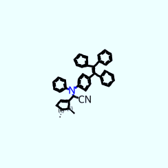 C[C@@H]1CC=C(C(C#N)N(c2ccccc2)c2ccc(C(=C(c3ccccc3)c3ccccc3)c3ccccc3)cc2)[C@H]1C